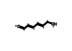 O=C/C=C/C=C/CO